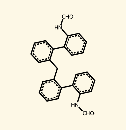 O=[C]Nc1ccccc1-c1ccccc1Cc1ccccc1-c1ccccc1N[C]=O